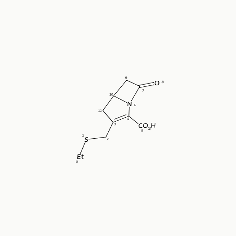 CCSCC1=C(C(=O)O)N2C(=O)CC2C1